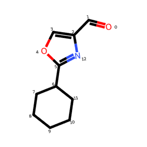 O=Cc1coc(C2CCCCC2)n1